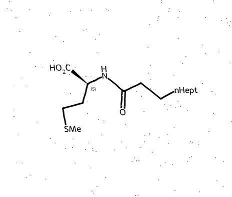 CCCCCCCCCC(=O)N[C@@H](CCSC)C(=O)O